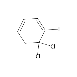 ClC1(Cl)CC=CC=C1I